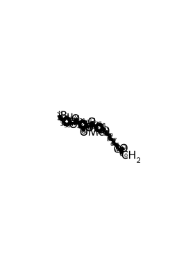 C=CC(=O)OCCCCCCOC1CCC(C(=O)OC2CCC(C(=O)OC3CCC(CC(C)CC)CC3)CC2OC)CC1